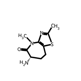 Cc1nc2c(s1)CC[C@H](N)C(=O)N2C